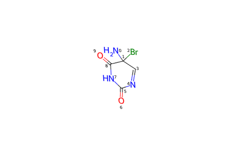 NC1(Br)C=NC(=O)NC1=O